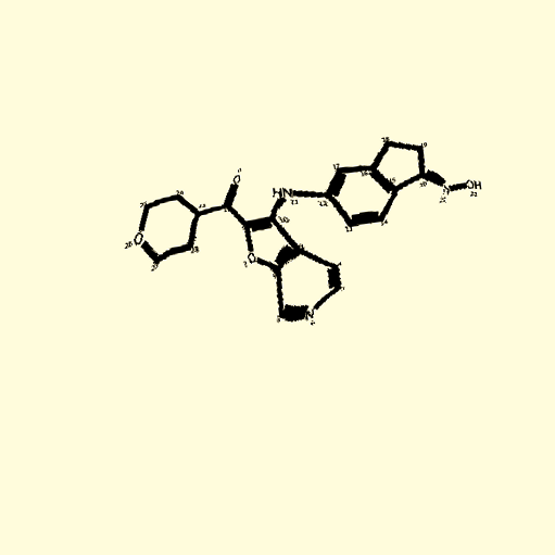 O=C(c1oc2cnccc2c1Nc1ccc2c(c1)CCC2=NO)C1CCOCC1